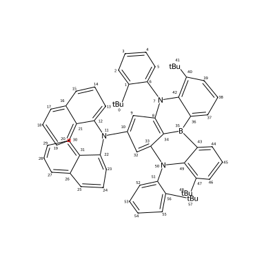 CC(C)(C)c1ccccc1N1c2cc(N(c3cccc4ccccc34)c3cccc4ccccc34)cc3c2B(c2cccc(C(C)(C)C)c21)c1cccc(C(C)(C)C)c1N3c1ccccc1C(C)(C)C